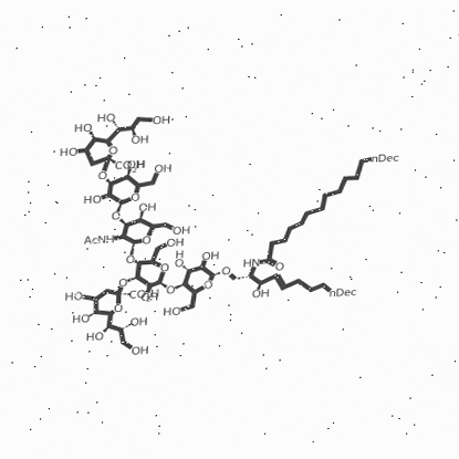 CCCCCCCCCCCCC/C=C/[C@@H](O)[C@H](CO[C@@H]1OC(CO)[C@@H](O[C@@H]2OC(CO)[C@H](O[C@@H]3OC(CO)[C@H](O)[C@H](O[C@@H]4OC(CO)[C@H](O)[C@H](O[C@]5(C(=O)O)CC(O)[C@@H](O)C([C@H](O)[C@H](O)CO)O5)C4O)C3NC(C)=O)[C@H](O[C@]3(C(=O)O)CC(O)[C@@H](O)C([C@H](O)[C@H](O)CO)O3)C2O)[C@H](O)C1O)NC(=O)CCCCCCCCCCCCCCCCCCCCC